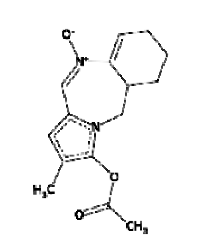 CC(=O)Oc1c(C)cc2n1CC1CCCC=C1[N+]([O-])=C2